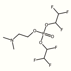 CN(C)CCOP(=O)(OC(F)C(F)F)OC(F)C(F)F